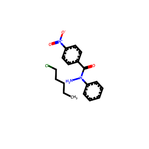 CCCCCCl.NN(C(=O)c1ccc([N+](=O)[O-])cc1)c1ccccc1